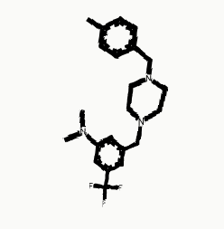 Cc1ccc(CN2CCN(Cc3cc(N(C)C)cc(C(F)(F)F)c3)CC2)cc1